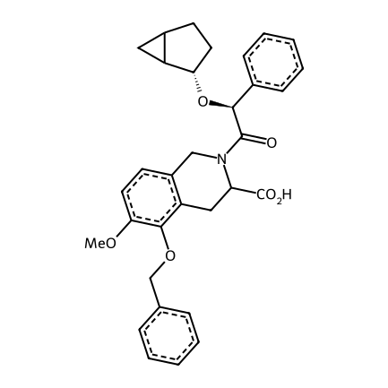 COc1ccc2c(c1OCc1ccccc1)CC(C(=O)O)N(C(=O)[C@@H](O[C@H]1CCC3CC31)c1ccccc1)C2